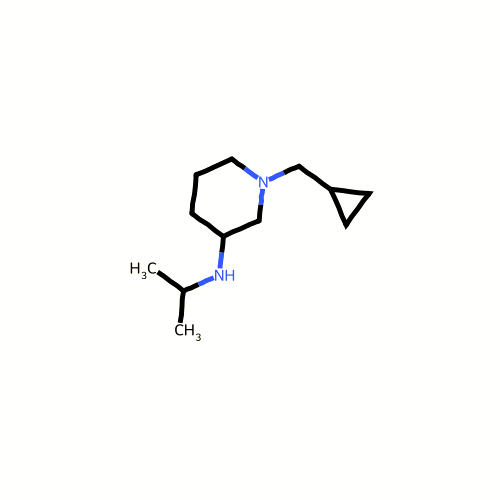 CC(C)NC1CCCN(CC2CC2)C1